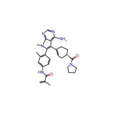 C=C(C)C(=O)Nc1ccc(-c2c(C3=CC[C@H](C(=O)N4CCCC4)CC3)c3c(N)ncnc3n2C)c(C)c1